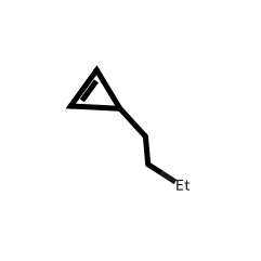 CCCCC1C=C1